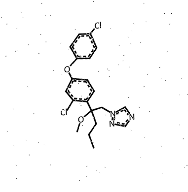 CCCC(Cn1cncn1)(OC)c1ccc(Oc2ccc(Cl)cc2)cc1Cl